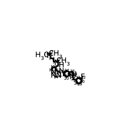 CN(C)CCCN(C)Cc1ccn2ncnc(Nc3ccc4c(cnn4Cc4cccc(F)c4)c3)c12